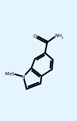 CSn1ccc2ccc(C(N)=O)cc21